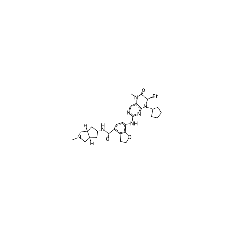 CC[C@@H]1C(=O)N(C)c2cnc(Nc3ccc(C(=O)N[C@@H]4C[C@@H]5CN(C)C[C@@H]5C4)c4c3OCC4)nc2N1C1CCCC1